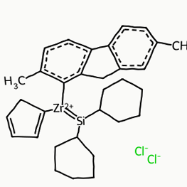 Cc1ccc2c(c1)Cc1c-2ccc(C)[c]1[Zr+2]([C]1=CC=CC1)=[Si](C1CCCCC1)C1CCCCC1.[Cl-].[Cl-]